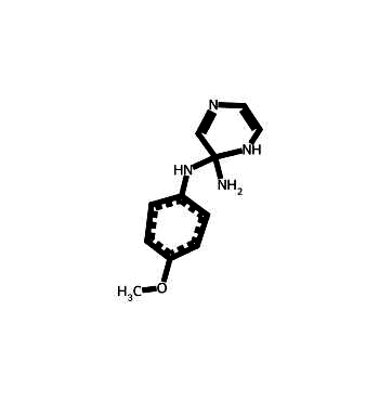 COc1ccc(NC2(N)C=NC=CN2)cc1